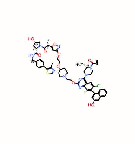 C=CC(=O)N1CCN(c2nc(OCCN3CCC(OCCOc4cc([C@H](C(=O)N5C[C@@H](O)C[C@H]5C(=O)N[C@@H](C)c5ccc(-c6scnc6C)cc5)C(C)C)on4)CC3)nc3c(F)c(-c4cc(O)cc5ccccc45)c(Cl)cc23)C[C@@H]1CC#N